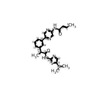 CC=CC(=O)Nc1cnc(-c2cccc(C(C)C(=O)Nc3ncc(N(C)C)s3)c2)cn1